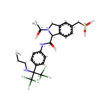 CCCNC(c1ccc(NC(=O)C2c3ccc(C[SH](=O)=O)cc3CN2C(C)=O)cc1)(C(F)(F)F)C(F)(F)F